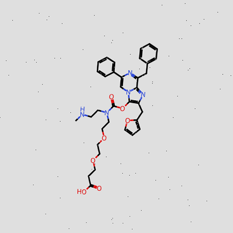 CNCCN(CCOCCOCCC(=O)O)C(=O)Oc1c(Cc2ccco2)nc2c(Cc3ccccc3)nc(-c3ccccc3)cn12